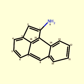 NC1=Cc2cccc3cc4ccccc4c1c23